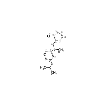 CC(C)Cc1cccc(C(C)Cc2ccccc2Cl)c1